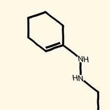 CCNNC1=CCCCC1